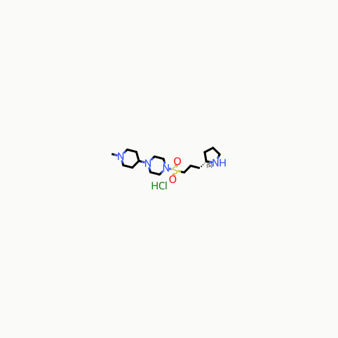 CN1CCC(N2CCN(S(=O)(=O)CCC[C@@H]3CCCN3)CC2)CC1.Cl